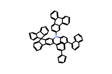 c1ccc(-c2cccc(-c3cc4c(cc3N(c3ccc(-c5cccc6ccccc56)cc3)c3ccc5c6ccccc6c6ccccc6c5c3)C3(c5ccccc5-c5ccccc53)c3ccccc3-4)c2)cc1